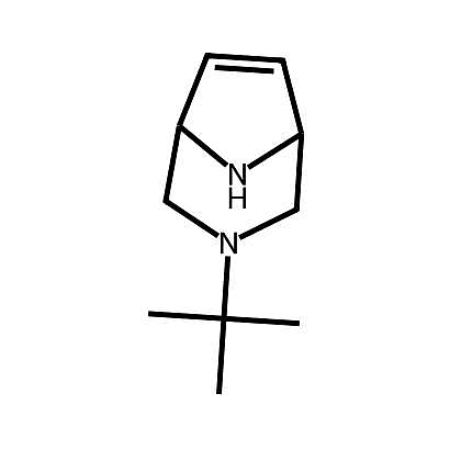 CC(C)(C)N1CC2C=CC(C1)N2